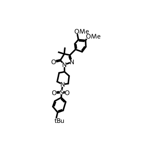 COc1ccc(C2=NN(C3CCN(S(=O)(=O)c4ccc(C(C)(C)C)cc4)CC3)C(=O)C2(C)C)cc1OC